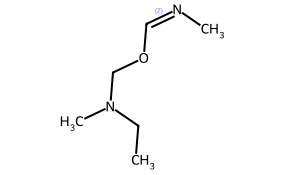 CCN(C)CO/C=N\C